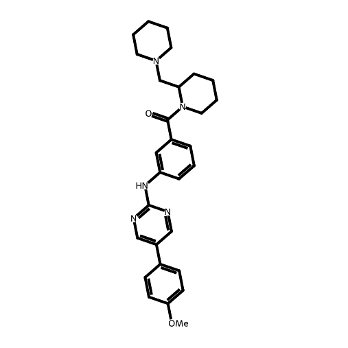 COc1ccc(-c2cnc(Nc3cccc(C(=O)N4CCCCC4CN4CCCCC4)c3)nc2)cc1